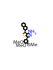 COc1cc(-c2cnc(N)c3c2SCC3c2ccc3ccccc3c2)cc(OC)c1OC